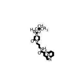 CC(C)(C)OC(=O)N1CCN(CCCNC(=O)C2=Cc3cnc4cccc(n34)S2)C(=O)C1